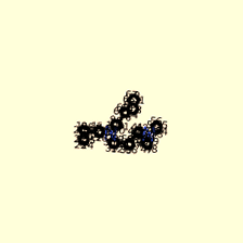 C1=CC2C=Cc3cc(-c4ccc(N(c5ccc(-c6cccc7ccccc67)cc5)c5cccc(-c6cccc(-c7cccc8c7c7ccccc7n8-c7ccccc7)c6)c5)cc4)ccc3C2C=C1